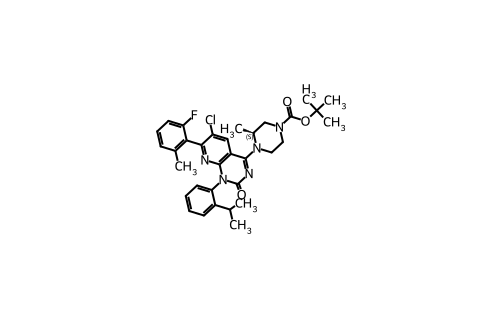 Cc1cccc(F)c1-c1nc2c(cc1Cl)c(N1CCN(C(=O)OC(C)(C)C)C[C@@H]1C)nc(=O)n2-c1ccccc1C(C)C